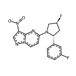 O=[N+]([O-])c1cnn2ccc(N3C[C@@H](F)C[C@@H]3c3cccc(F)c3)nc12